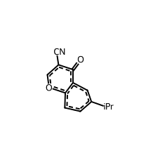 CC(C)c1ccc2occ(C#N)c(=O)c2c1